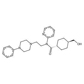 O=C([C@H]1CC[C@H](CO)CC1)N(CCN1CCN(c2ccccc2)CC1)c1ccccn1